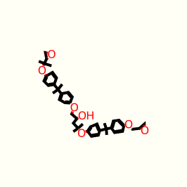 CC(C)(CC(O)COc1ccc(C(C)(C)c2ccc(OC(C)(C)C3CO3)cc2)cc1)Oc1ccc(C(C)(C)c2ccc(OCC3CO3)cc2)cc1